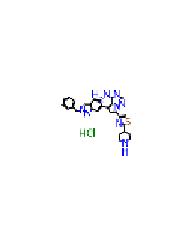 Cl.Nc1ncnn2c(-c3csc(C4CCNCC4)n3)cc(-c3ccc4cn(Cc5ccccc5)nc4c3)c12